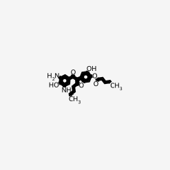 CCCCC(=O)Oc1cc2oc(CCCC)c(C(=O)c3cc(N)c(O)c(N)c3)c2cc1O